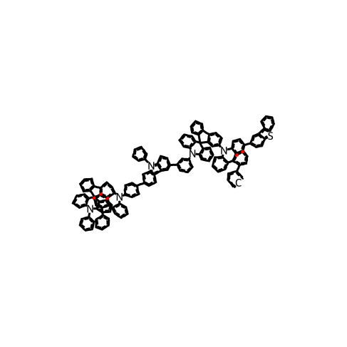 c1ccc(-c2ccccc2-c2ccccc2N(c2ccc(-c3ccc4c5cc(-c6cccc(N7c8ccccc8C8(c9ccccc9-c9ccc(N(c%10ccc(-c%11ccc%12sc%13ccccc%13c%12c%11)cc%10)c%10ccccc%10-c%10ccccc%10-c%10ccccc%10)cc98)c8ccccc87)c6)ccc5n(-c5ccccc5)c4c3)cc2)c2ccc3c(c2)C2(c4ccccc4-3)c3ccccc3N(c3ccccc3)c3ccccc32)cc1